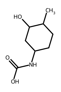 CC1CCC(NC(=O)O)CC1O